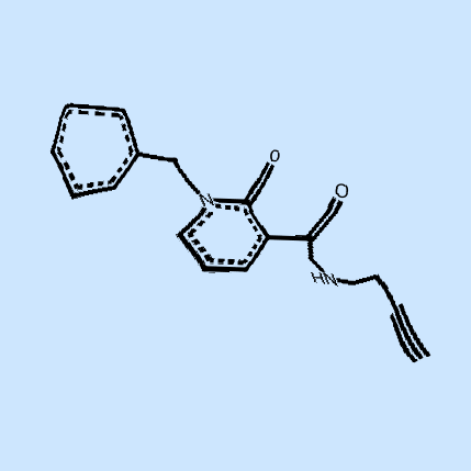 C#CCNC(=O)c1cccn(Cc2ccccc2)c1=O